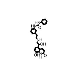 O=C(Nc1ccccc1)Nc1cccc(CCNCC(O)c2ccc(O)c3[nH]c(=O)ccc23)c1